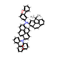 CC1(C)c2cccc3ccc4cc(N(c5ccc6oc7ccccc7c6c5)c5ccc6ccc7c(N(c8ccccc8)c8ccccc8-c8ccccc8)ccc8ccc5c6c87)cc1c4c23